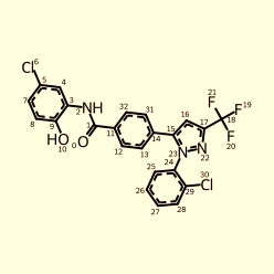 O=C(Nc1cc(Cl)ccc1O)c1ccc(-c2cc(C(F)(F)F)nn2-c2ccccc2Cl)cc1